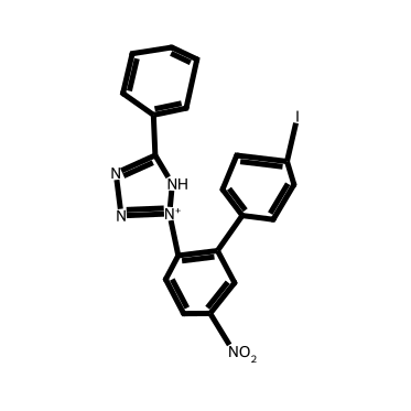 O=[N+]([O-])c1ccc(-[n+]2nnc(-c3ccccc3)[nH]2)c(-c2ccc(I)cc2)c1